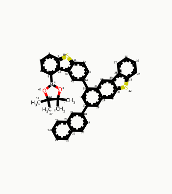 CC1(C)OB(c2cccc3sc4ccc(-c5cc(-c6ccc7ccccc7c6)cc6cc7sc8ccccc8c7cc56)cc4c23)OC1(C)C